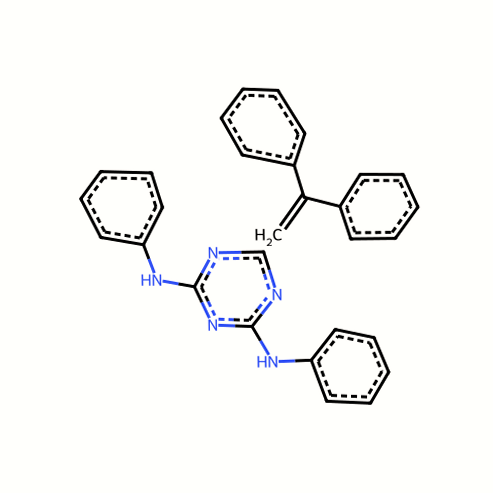 C=C(c1ccccc1)c1ccccc1.c1ccc(Nc2ncnc(Nc3ccccc3)n2)cc1